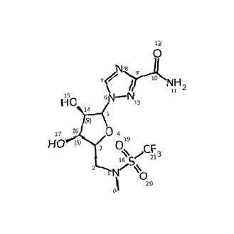 CN(CC1OC(n2cnc(C(N)=O)n2)[C@H](O)[C@@H]1O)S(=O)(=O)C(F)(F)F